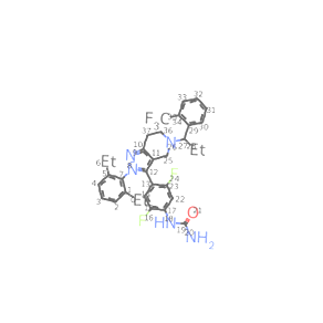 CCc1cccc(CC)c1-n1nc2c(c1-c1cc(F)c(NC(N)=O)cc1F)CN(C(CC)c1ccccc1C(F)(F)F)CC2